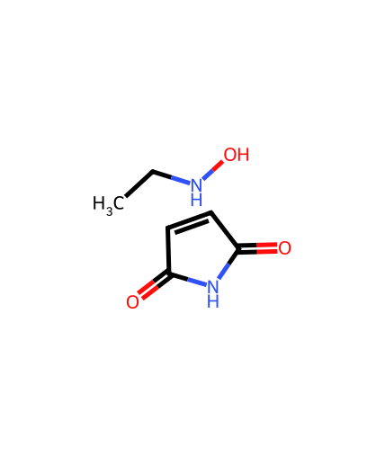 CCNO.O=C1C=CC(=O)N1